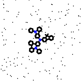 CC1(C)c2ccccc2-c2ccc(N(c3ccc4c(c3)-c3ccccc3-c3ccccc3N4c3ccccc3)c3ccc4c(c3)c3ccccc3n4-c3ccccc3)cc21